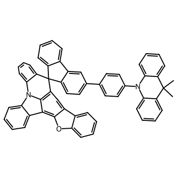 CC1(C)c2ccccc2N(c2ccc(-c3ccc4c(c3)-c3ccccc3C43c4ccccc4-n4c5ccccc5c5c6oc7ccccc7c6cc3c54)cc2)c2ccccc21